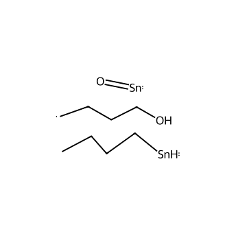 CCC[CH2][SnH].[CH2]CCCO.[O]=[Sn]